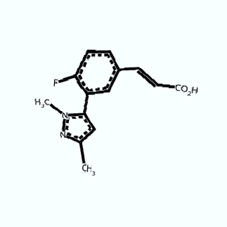 Cc1cc(-c2cc(C=CC(=O)O)ccc2F)n(C)n1